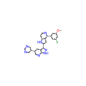 COc1cc(F)cc(-c2nccc3[nH]c(-c4n[nH]c5ncc(-c6cncnc6)cc45)cc23)c1